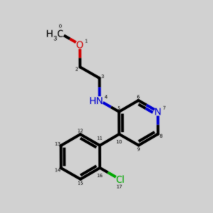 COCCNc1cnccc1-c1ccccc1Cl